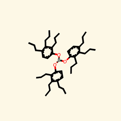 CCCc1ccc(OB(Oc2ccc(CCC)c(CCC)c2CCC)Oc2ccc(CCC)c(CCC)c2CCC)c(CCC)c1CCC